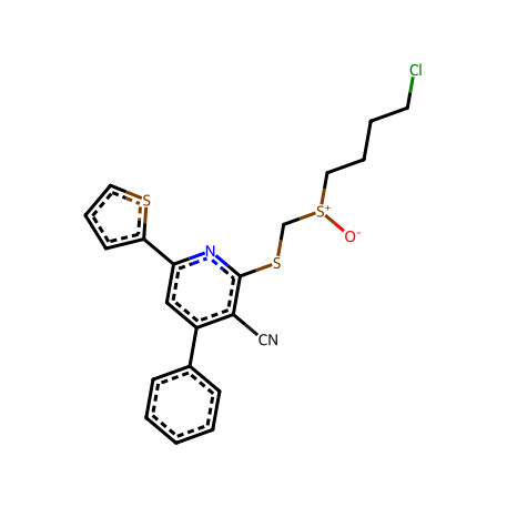 N#Cc1c(-c2ccccc2)cc(-c2cccs2)nc1SC[S+]([O-])CCCCCl